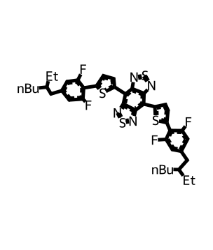 CCCCC(CC)Cc1cc(F)c(-c2ccc(-c3c4c(c(-c5ccc(-c6c(F)cc(CC(CC)CCCC)cc6F)s5)c5nsnc35)N=S=N4)s2)c(F)c1